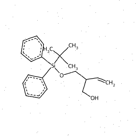 C=CC(CO)CO[Si](c1ccccc1)(c1ccccc1)C(C)(C)C